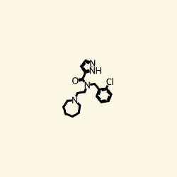 O=C(c1ccn[nH]1)N(CCN1CCCCCC1)Cc1ccccc1Cl